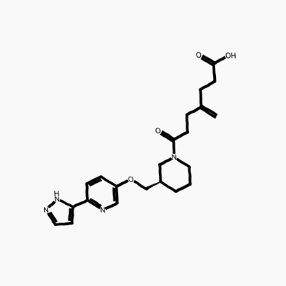 C=C(CCC(=O)O)CCC(=O)N1CCC[C@@H](COc2ccc(-c3ccn[nH]3)nc2)C1